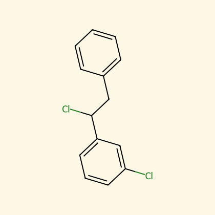 Clc1cccc(C(Cl)Cc2ccccc2)c1